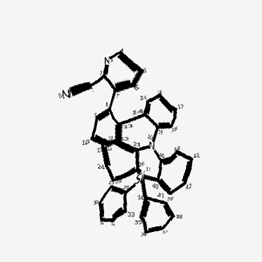 N#Cc1ncccc1-c1ccccc1-c1ccccc1N1c2ccccc2[Si](c2ccccc2)(c2ccccc2)c2ccccc21